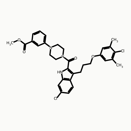 COC(=O)c1cccc(N2CCN(C(=O)c3[nH]c4cc(Cl)ccc4c3CCCOc3cc(C)c(Cl)c(C)c3)CC2)c1